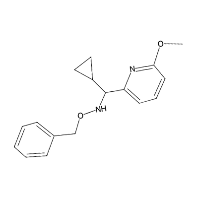 COc1cccc(C(NOCc2ccccc2)C2CC2)n1